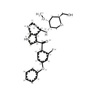 CO[C@@H]1C[C@@H](CO)OC[C@@H]1Nc1ncnc2[nH]cc(C(=O)c3ccc(Oc4ccccc4)cc3F)c12